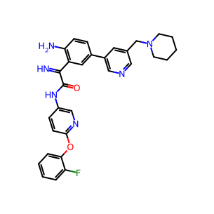 N=C(C(=O)Nc1ccc(Oc2ccccc2F)nc1)c1cc(-c2cncc(CN3CCCCC3)c2)ccc1N